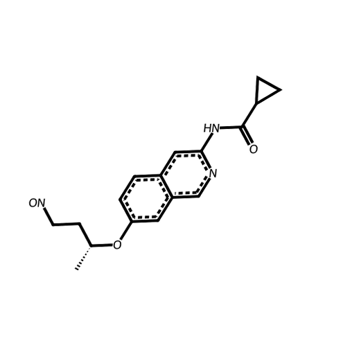 C[C@H](CCN=O)Oc1ccc2cc(NC(=O)C3CC3)ncc2c1